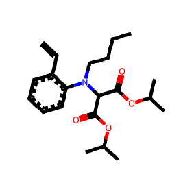 C=Cc1ccccc1N(CCCC)C(C(=O)OC(C)C)C(=O)OC(C)C